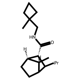 CC(C)C1C2CC[C@@H]([C@@H]1C(=O)NCC1(C)CCC1)[C@H]2C